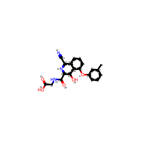 Cc1cccc(Oc2cccc3c(C#N)nc(C(=O)NCC(=O)O)c(O)c23)c1